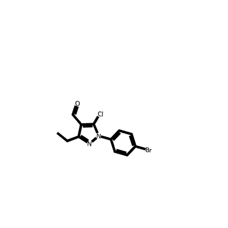 CCc1nn(-c2ccc(Br)cc2)c(Cl)c1C=O